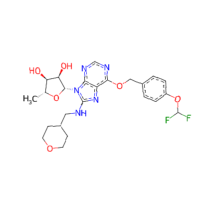 C[C@H]1O[C@@H](n2c(NCC3CCOCC3)nc3c(OCc4ccc(OC(F)F)cc4)ncnc32)[C@H](O)[C@@H]1O